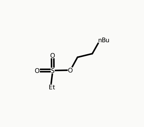 CCCCCCOS(=O)(=O)CC